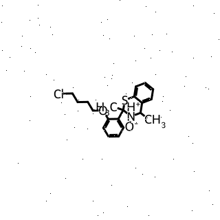 CC1c2ccccc2SC(C)(c2ccccc2OCCCCCl)[NH+]1[O-]